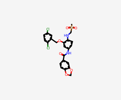 CS(=O)(=O)CNc1ccc(NC(=O)c2ccc3c(c2)OCO3)cc1OCc1cc(Cl)ccc1Cl